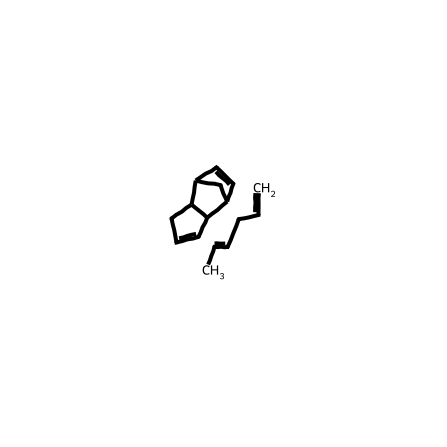 C1=CC2C3C=CC(C3)C2C1.C=CCC=CC